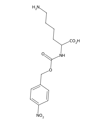 NCCCCC(NC(=O)OCc1ccc([N+](=O)[O-])cc1)C(=O)O